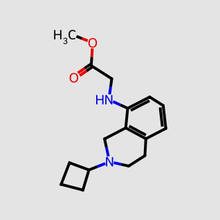 COC(=O)CNc1cccc2c1CN(C1CCC1)CC2